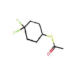 CC(=O)SC1CCC(F)(F)CC1